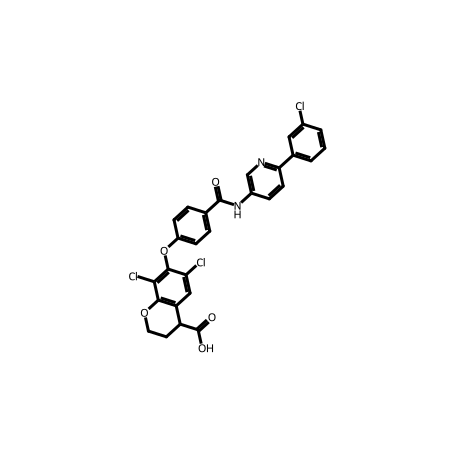 O=C(Nc1ccc(-c2cccc(Cl)c2)nc1)c1ccc(Oc2c(Cl)cc3c(c2Cl)OCCC3C(=O)O)cc1